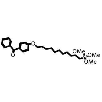 CO[Si](CCCCCCCCCCCOc1ccc(C(=O)c2ccccc2)cc1)(OC)OC